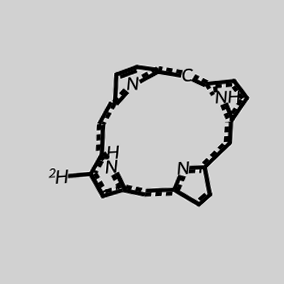 [2H]c1cc2cc3nc(cc4ccc(cc5nc(cc1[nH]2)C=C5)[nH]4)C=C3